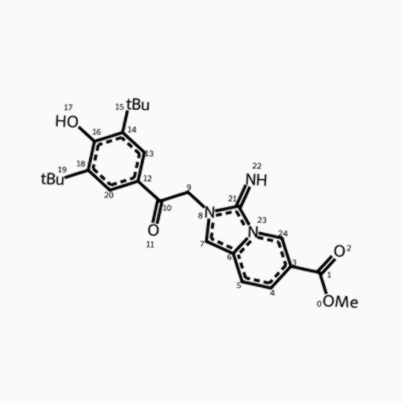 COC(=O)c1ccc2cn(CC(=O)c3cc(C(C)(C)C)c(O)c(C(C)(C)C)c3)c(=N)n2c1